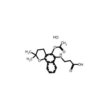 CC(=O)Oc1c2c(c3ccccc3c1NCCC(=O)O)OC(C)(C)CC2.Cl